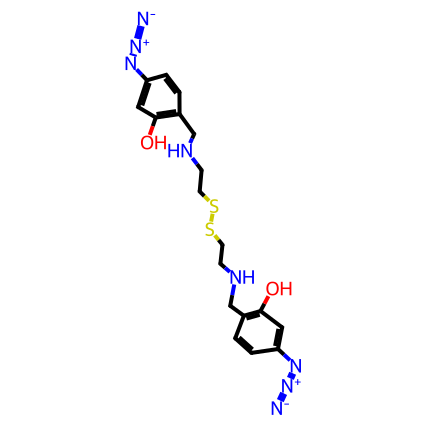 [N-]=[N+]=Nc1ccc(CNCCSSCCNCc2ccc(N=[N+]=[N-])cc2O)c(O)c1